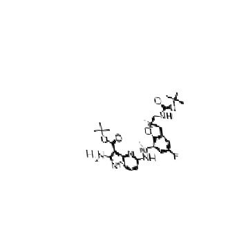 C[C@@H](Nc1ccn2nc(N)c(C(=O)OC(C)(C)C)c2n1)c1cc(F)cc2c1O[C@@](C)(CNC(=O)OC(C)(C)C)C2